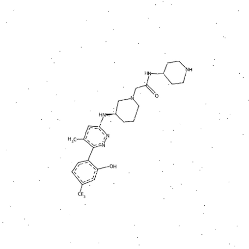 Cc1cc(N[C@@H]2CCCN(CC(=O)NC3CCNCC3)C2)nnc1-c1ccc(C(F)(F)F)cc1O